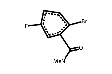 CNC(=O)c1cc(F)ccc1Br